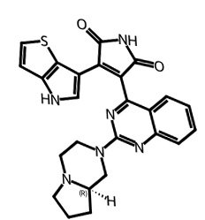 O=C1NC(=O)C(c2c[nH]c3ccsc23)=C1c1nc(N2CCN3CCC[C@@H]3C2)nc2ccccc12